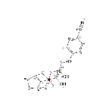 CN(CC(O)COc1ccc(C#N)cc1)C1C2CCC1CN(C(=O)O)C2